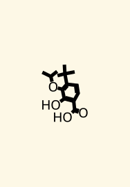 CC(C)Oc1c(C(C)(C)C)ccc(C(=O)O)c1O